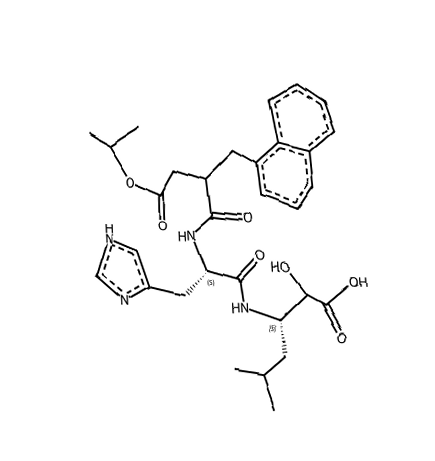 CC(C)C[C@H](NC(=O)[C@H](Cc1c[nH]cn1)NC(=O)C(CC(=O)OC(C)C)Cc1cccc2ccccc12)C(O)C(=O)O